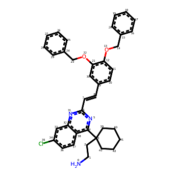 NCCC1(c2nc(C=Cc3ccc(OCc4ccccc4)c(OCc4ccccc4)c3)nc3cc(Cl)ccc23)CCCCC1